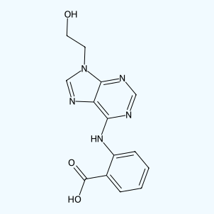 O=C(O)c1ccccc1Nc1ncnc2c1ncn2CCO